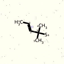 C/C=C/C(C)(C)[S]